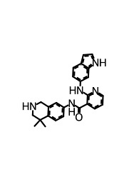 CC1(C)CNCc2cc(NC(=O)c3cccnc3Nc3ccc4cc[nH]c4c3)ccc21